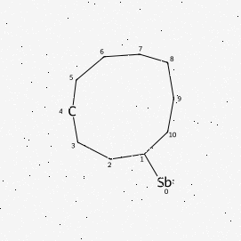 [Sb][CH]1CCCCCCCCC1